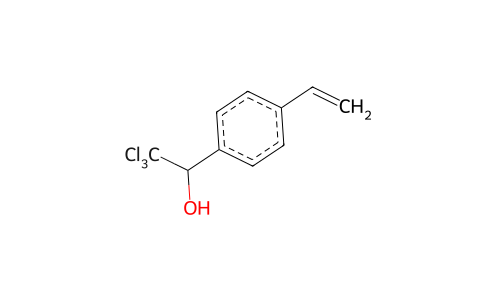 C=Cc1ccc(C(O)C(Cl)(Cl)Cl)cc1